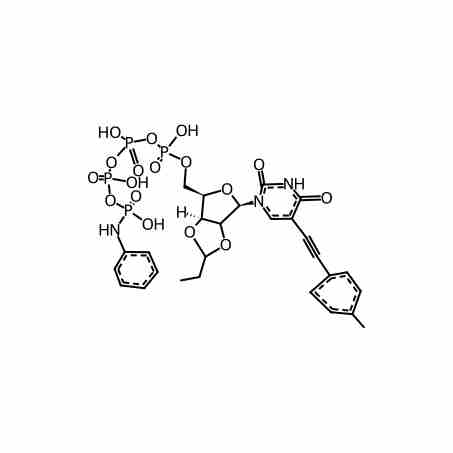 CCC1OC2[C@@H](O1)[C@@H](COP(=O)(O)OP(=O)(O)OP(=O)(O)OP(=O)(O)Nc1ccccc1)O[C@H]2n1cc(C#Cc2ccc(C)cc2)c(=O)[nH]c1=O